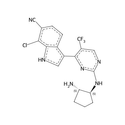 N#Cc1ccc2c(-c3nc(N[C@H]4CCC[C@@H]4N)ncc3C(F)(F)F)c[nH]c2c1Cl